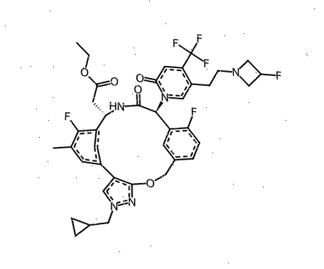 CCOC(=O)C[C@@H]1NC(=O)[C@@H](n2cc(CCN3CC(F)C3)c(C(F)(F)F)cc2=O)c2cc(ccc2F)COc2nn(CC3CC3)cc2-c2cc(C)c(F)c1c2